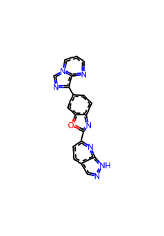 c1cnc2c(-c3ccc4nc(-c5ccc6cn[nH]c6n5)oc4c3)ncn2c1